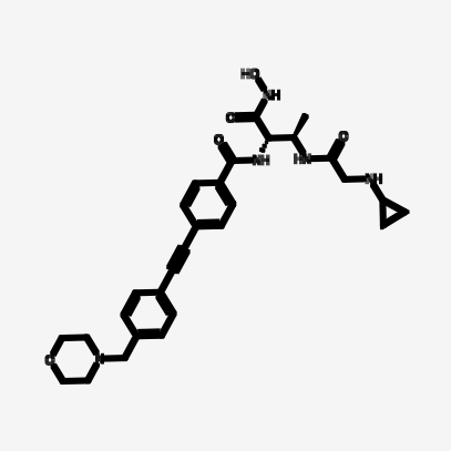 C[C@@H](NC(=O)CNC1CC1)[C@H](NC(=O)c1ccc(C#Cc2ccc(CN3CCOCC3)cc2)cc1)C(=O)NO